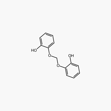 Oc1ccccc1OCOc1ccccc1O